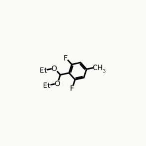 CCOC(OCC)c1c(F)cc(C)cc1F